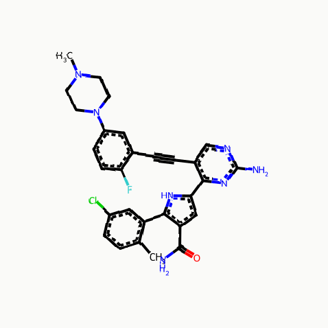 Cc1ccc(Cl)cc1-c1[nH]c(-c2nc(N)ncc2C#Cc2cc(N3CCN(C)CC3)ccc2F)cc1C(N)=O